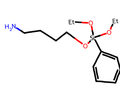 CCO[Si](OCC)(OCCCCN)c1ccccc1